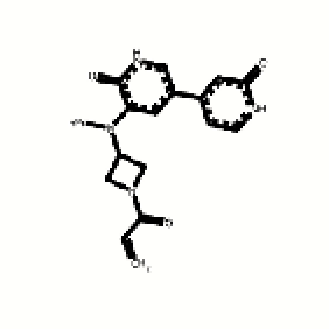 C=CC(=O)N1CC(N(CCC)c2cc(-c3cc[nH]c(=O)c3)c[nH]c2=O)C1